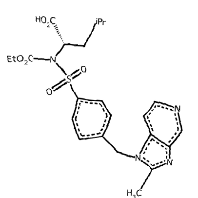 CCOC(=O)N([C@@H](CC(C)C)C(=O)O)S(=O)(=O)c1ccc(Cn2c(C)nc3cnccc32)cc1